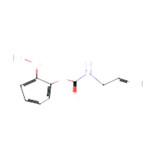 C=CCNC(=O)Oc1ccccc1OCC